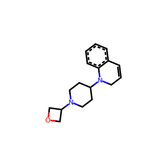 C1=Cc2ccccc2N(C2CCN(C3COC3)CC2)C1